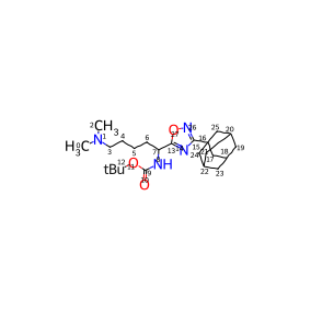 CN(C)CCCCC(NC(=O)OC(C)(C)C)c1nc(C23CC4CC(CC(C4)C2)C3)no1